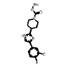 CC(C)(C)OC(=O)N1CCC(c2nc(-c3ccc(F)c(Cl)c3)c[nH]2)CC1